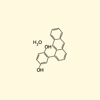 O.Oc1ccc(O)c(-c2cccc3cc4ccccc4cc23)c1